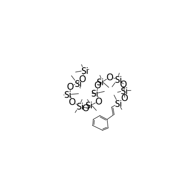 C[Si](C)(C)O[Si](C)(C)O[Si](C)(C)O[Si](C)(C)O[Si](C)(C)O[Si](C)(C)O[Si](C)(C)O[Si](C)(C)O[Si](C)(C)O[Si](C)(C)C=Cc1ccccc1